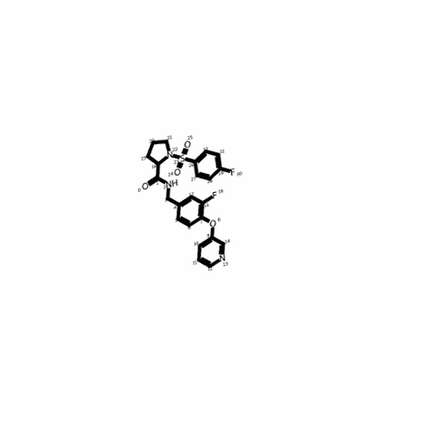 O=C(NCc1ccc(Oc2cccnc2)c(F)c1)C1CCCN1S(=O)(=O)c1ccc(F)cc1